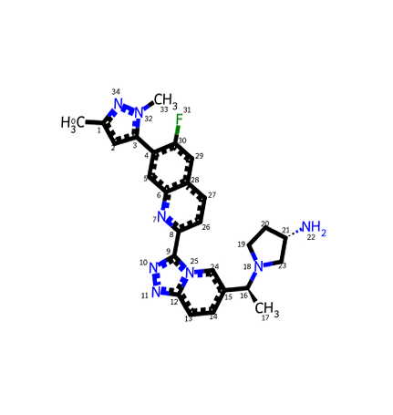 Cc1cc(-c2cc3nc(-c4nnc5ccc([C@H](C)N6CC[C@H](N)C6)cn45)ccc3cc2F)n(C)n1